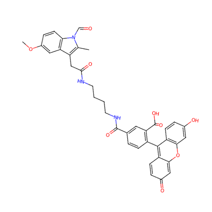 COc1ccc2c(c1)c(CC(=O)NCCCCNC(=O)c1ccc(-c3c4ccc(=O)cc-4oc4cc(O)ccc34)c(C(=O)O)c1)c(C)n2C=O